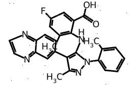 Cc1ccccc1-n1nc(C)c(-c2ccc3nccnc3c2)c1Nc1c(C)cc(F)cc1C(=O)O